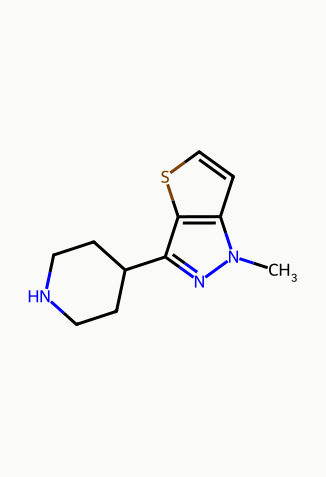 Cn1nc(C2CCNCC2)c2sccc21